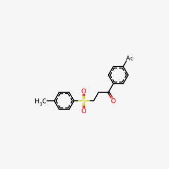 CC(=O)c1ccc(C(=O)CCS(=O)(=O)c2ccc(C)cc2)cc1